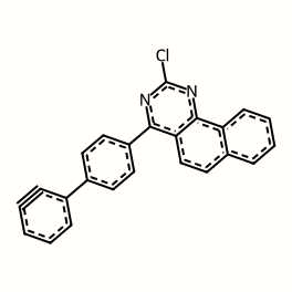 Clc1nc(-c2ccc(-c3c#cccc3)cc2)c2ccc3ccccc3c2n1